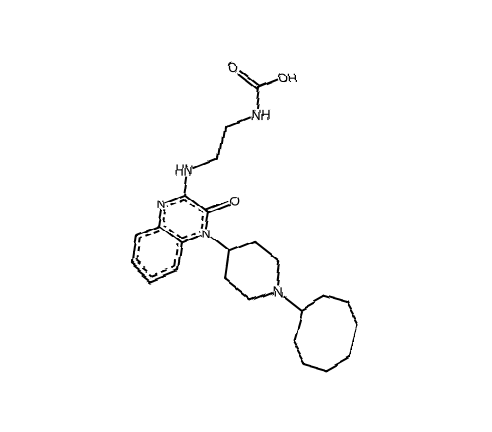 O=C(O)NCCNc1nc2ccccc2n(C2CCN(C3CCCCCCC3)CC2)c1=O